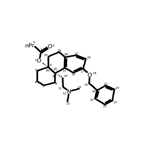 CCCC(=O)O[C@@]12CCCC[C@]1(CCN(C)C)c1cc(OCc3ccccc3)ccc1CC2